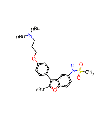 CCCCc1oc2ccc(NS(C)(=O)=O)cc2c1-c1ccc(OCCCN(CCCC)CCCC)cc1